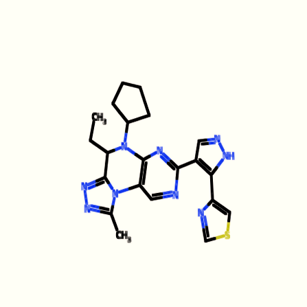 CCC1c2nnc(C)n2-c2cnc(-c3cn[nH]c3-c3cscn3)nc2N1C1CCCC1